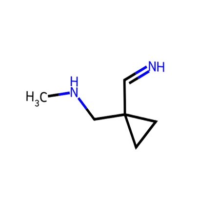 CNCC1(C=N)CC1